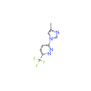 Cc1cn(-c2ccc(C(F)(F)F)nn2)cn1